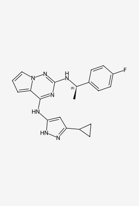 C[C@@H](Nc1nc(Nc2cc(C3CC3)n[nH]2)c2cccn2n1)c1ccc(F)cc1